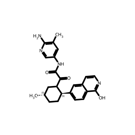 Cc1cc(NC(=O)C(=O)C2C[C@@H](C)CC[C@@H]2c2ccc3c(O)nccc3c2)cnc1N